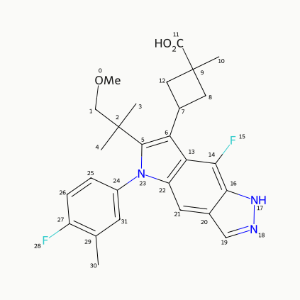 COCC(C)(C)c1c(C2CC(C)(C(=O)O)C2)c2c(F)c3[nH]ncc3cc2n1-c1ccc(F)c(C)c1